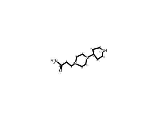 NC(=O)CCN1CCN(C2CCNCC2)CC1